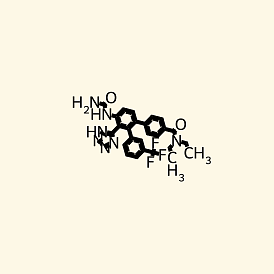 CCN(CC)C(=O)c1ccc(-c2ccc(NC(N)=O)c(-c3nnn[nH]3)c2-c2cccc(C(F)(F)F)c2)cc1